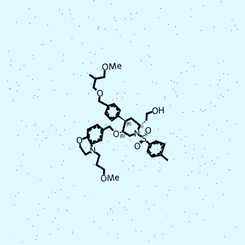 COCCCN1CCOc2ccc(CO[C@H]3CN(S(=O)(=O)c4ccc(C)cc4)[C@@H](CCO)C[C@@H]3c3ccc(COCC(C)COC)cc3)cc21